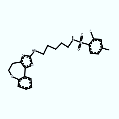 O=S(=O)(NCCCCCNc1nc2c(s1)CCSc1ccccc1-2)c1ccc(F)cc1F